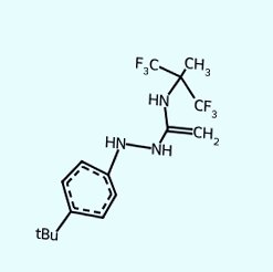 C=C(NNc1ccc(C(C)(C)C)cc1)NC(C)(C(F)(F)F)C(F)(F)F